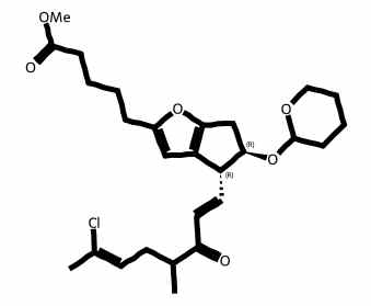 COC(=O)CCCCc1cc2c(o1)C[C@@H](OC1CCCCO1)[C@@H]2C=CC(=O)C(C)CC=C(C)Cl